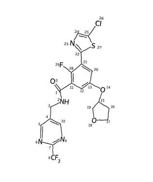 O=C(NCc1cnc(C(F)(F)F)nc1)c1cc(OC2CCOC2)cc(-c2ncc(Cl)s2)c1F